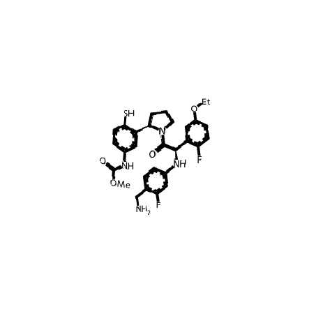 CCOc1ccc(F)c([C@@H](Nc2ccc(CN)c(F)c2)C(=O)N2CCC[C@@H]2c2cc(NC(=O)OC)ccc2S)c1